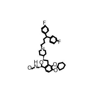 O=CNC[C@H]1O[C@@H](C2CCN(CCCC(c3ccc(F)cc3)c3ccc(F)cc3)CC2)Cc2c1ccc1c2OC2(CCCCC2)O1